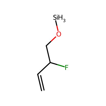 C=CC(F)CO[SiH3]